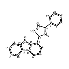 c1ccc(C2=NC(c3cccc4c3sc3ccccc34)N=N2)cc1